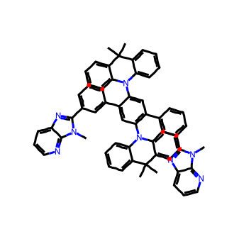 Cn1c(-c2cccc(-c3cc(N4c5ccccc5C(C)(C)c5ccccc54)c(-c4cccc(-c5nc6cccnc6n5C)c4)cc3N3c4ccccc4C(C)(C)c4ccccc43)c2)nc2cccnc21